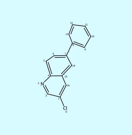 Clc1cnc2ccc(-c3ccccc3)cc2c1